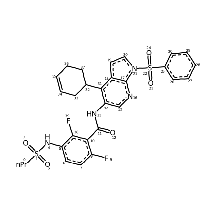 CCCS(=O)(=O)Nc1ccc(F)c(C(=O)Nc2cnc3c(ccn3S(=O)(=O)c3ccccc3)c2C2CC=CCC2)c1F